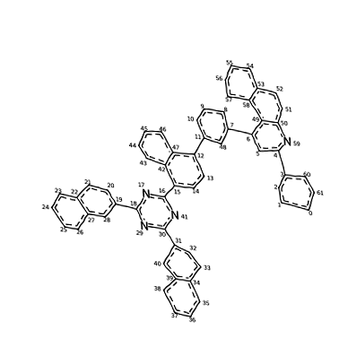 c1ccc(-c2cc(-c3cccc(-c4ccc(-c5nc(-c6ccc7ccccc7c6)nc(-c6ccc7ccccc7c6)n5)c5ccccc45)c3)c3c(ccc4ccccc43)n2)cc1